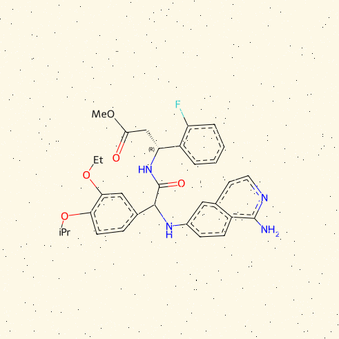 CCOc1cc(C(Nc2ccc3c(N)nccc3c2)C(=O)N[C@H](CC(=O)OC)c2ccccc2F)ccc1OC(C)C